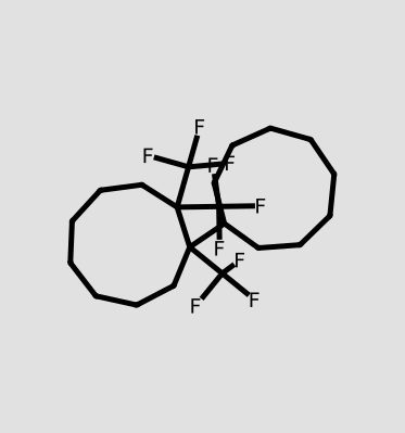 FC(F)(F)C1(C2CCCCCCCC2)CCCCCCCC1(C(F)(F)F)C(F)(F)F